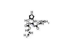 BNPOC(=O)/N=C(/NC(=O)OPNB)N[C@@H]1CNC[C@H]1O